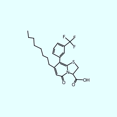 CCCCCCCCc1cc(=O)n2c(c1-c1cccc(C(F)(F)F)c1)SCC2C(=O)O